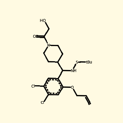 C=CCOc1cc(Cl)c(Cl)cc1C(NSC(C)(C)C)C1CCN(C(=O)CO)CC1